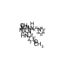 COc1ccc(Nc2nc(NCCN3CCCCC3)nc3c2cnn3C)cc1